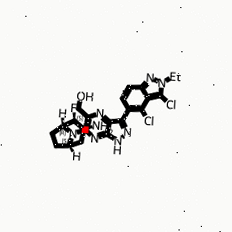 CCn1nc2ccc(-c3n[nH]c4nc(N5[C@H]6CC[C@@H]5[C@@H](F)[C@@H](N)C6)c(CO)nc34)c(Cl)c2c1Cl